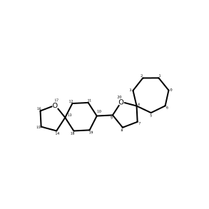 C1CCCC2(CC1)CCC(C1CCC3(CCCO3)CC1)O2